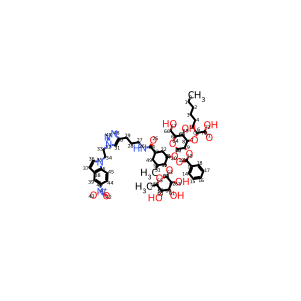 CCCCCC[C@H](OC1C(OC(=O)c2ccccc2)[C@H](O[C@@H]2CC(C(=O)NCCCc3cn(CCn4ccc5cc([N+](=O)[O-])ccc54)nn3)CC(C)C2O[C@@H]2OC(C)[C@@H](O)C(O)C2O)OC(CO)[C@@H]1O)C(=O)O